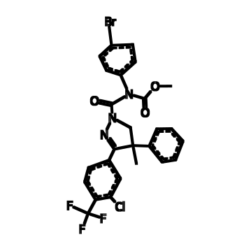 COC(=O)N(C(=O)N1CC(C)(c2ccccc2)C(c2ccc(C(F)(F)F)c(Cl)c2)=N1)c1ccc(Br)cc1